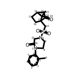 Cc1ccccc1N1CCN(S(=O)(=O)CC23CCC(CC2=O)C3(C)C)CC1=O